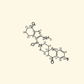 Nc1sc2c(c1C(=O)N1CCC3(CC1)CC(=O)c1cc(F)ccc1S3)CCCC2=O